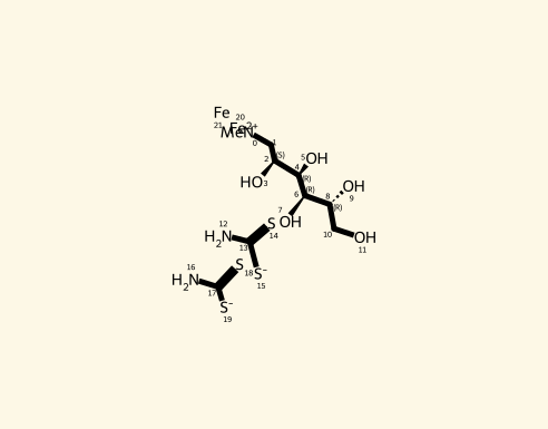 CNC[C@H](O)[C@@H](O)[C@H](O)[C@H](O)CO.NC(=S)[S-].NC(=S)[S-].[Fe+2].[Fe]